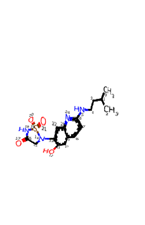 CC(C)CCNc1ccc2cc(O)c(N3CC(=O)NS3(=O)=O)cc2n1